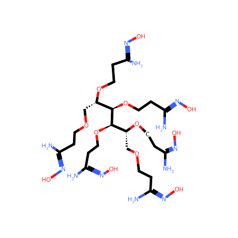 N/C(CCOC[C@H](OCC/C(N)=N/O)[C@@H](OCC/C(N)=N/O)[C@H](OCC/C(N)=N\O)[C@@H](COCC/C(N)=N\O)OCC/C(N)=N\O)=N\O